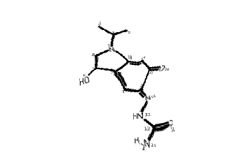 CC(C)N1CC(O)C2=CC(=NNC(N)=O)C(=O)C=C21